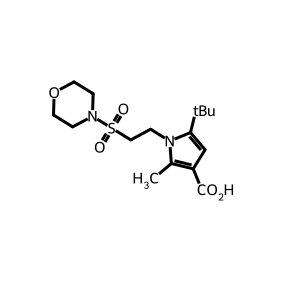 Cc1c(C(=O)O)cc(C(C)(C)C)n1CCS(=O)(=O)N1CCOCC1